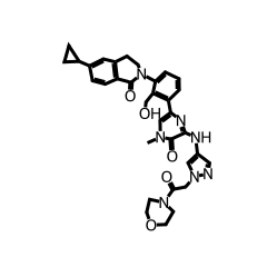 Cn1cc(-c2cccc(N3CCc4cc(C5CC5)ccc4C3=O)c2CO)nc(Nc2cnn(CC(=O)N3CCOCC3)c2)c1=O